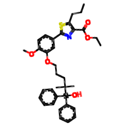 CCCc1sc(-c2ccc(OC)c(OCCCC(C)(C)[Si](O)(c3ccccc3)c3ccccc3)c2)nc1C(=O)OCC